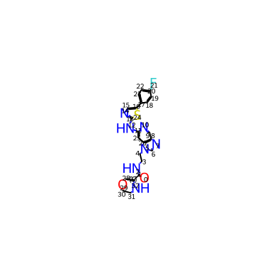 O=C(NCCn1cnc2cnc(Nc3ncc(-c4ccc(F)cc4)s3)cc21)[C@@H]1COCCN1